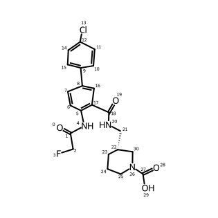 O=C(CF)Nc1ccc(-c2ccc(Cl)cc2)cc1C(=O)NC[C@H]1CCCN(C(=O)O)C1